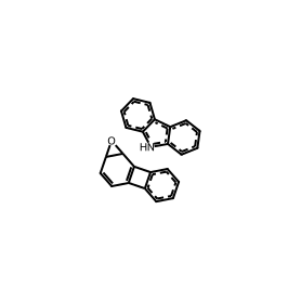 C1=CC2OC2C2=C1c1ccccc12.c1ccc2c(c1)[nH]c1ccccc12